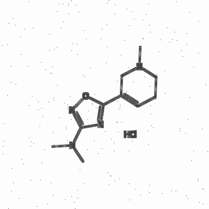 CN1CCC=C(c2nc(N(C)C)no2)C1.Cl